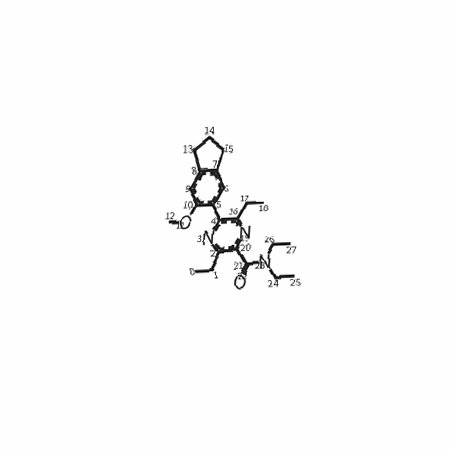 CCc1nc(-c2cc3c(cc2OC)CCC3)c(CC)nc1C(=O)N(CC)CC